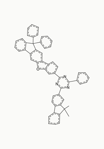 CC1(C)c2ccccc2-c2ccc(-c3nc(-c4ccccc4)nc(-c4ccc5c(c4)oc4cc6c(cc45)C(c4ccccc4)(c4ccccc4)c4ccccc4-6)n3)cc21